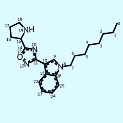 CCCCCCCCn1cc(-c2noc(C3CCCN3)n2)c2ccccc21